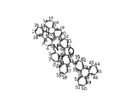 c1ccc(N(c2ccc3c(c2)C2(c4ccccc4-c4ccccc42)c2ccccc2-3)c2cccc3oc4c(-c5ccc6c7ccccc7c7ccccc7c6c5)c5ccccc5cc4c23)cc1